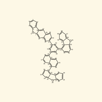 c1ccc2c(c1)oc1cc3cc(-c4nc(-c5cccc6c(-c7cccc8oc9ccccc9c78)cccc56)nc(-c5cccc6oc7ccccc7c56)n4)ccc3cc12